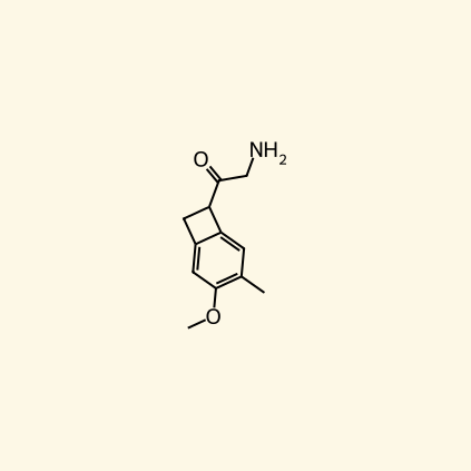 COc1cc2c(cc1C)C(C(=O)CN)C2